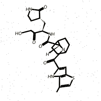 Cc1csc2cc(C(=O)N3C4CCC(CC4)[C@H]3C(=O)N[C@H](C[C@@H]3CCNC3=O)C(=O)CO)[nH]c12